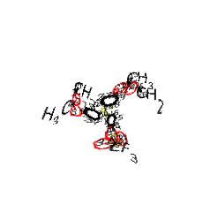 C=COC(C)Oc1ccc([S+](c2ccccc2)c2ccc(OC(C)OC=C)cc2)cc1.O=S(=O)([O-])C(F)(F)F